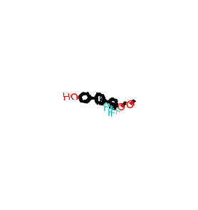 COCOC12CCC(C34CCC(C5CCC(O)CC5)(CC3)CC4)(CC1)C(F)(F)C2(F)F